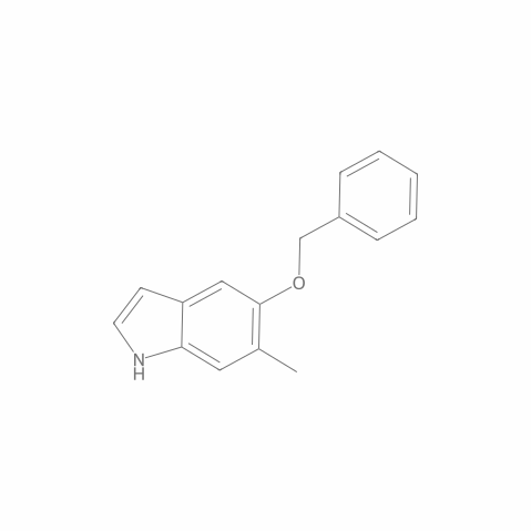 Cc1cc2[nH]ccc2cc1OCc1ccccc1